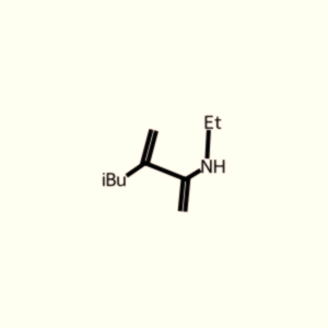 C=C(NCC)C(=C)C(C)CC